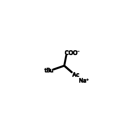 CC(=O)C(C(=O)[O-])C(C)(C)C.[Na+]